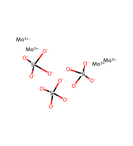 [Mo+3].[Mo+3].[Mo+3].[Mo+3].[O-][Si]([O-])([O-])[O-].[O-][Si]([O-])([O-])[O-].[O-][Si]([O-])([O-])[O-]